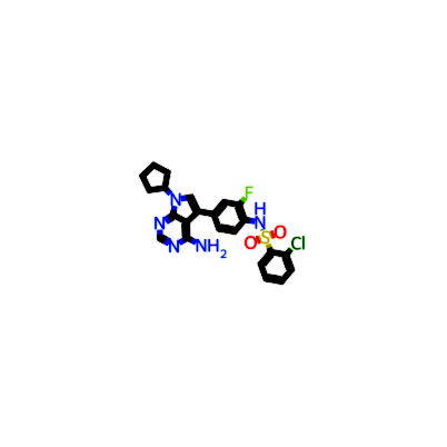 Nc1ncnc2c1c(-c1ccc(NS(=O)(=O)c3ccccc3Cl)c(F)c1)cn2C1CCCC1